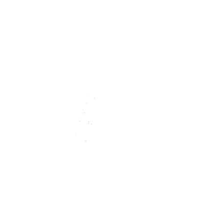 CCCCCCCCCCC(F)COc1ccc(-c2cnc(-c3ccc(CCCCC)cc3)nc2)cc1